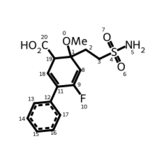 COC1(CCS(N)(=O)=O)C=C(F)C(c2ccccc2)=CC1C(=O)O